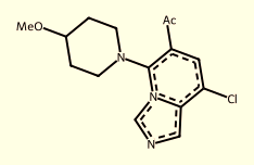 COC1CCN(c2c(C(C)=O)cc(Cl)c3cncn23)CC1